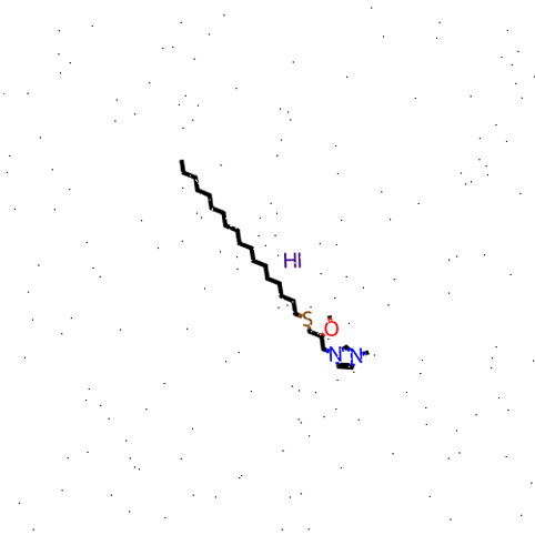 CCCCCCCCCCCCCCCCCCSCC(CN1C=CN(C)C1)OC.I